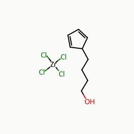 OCCCCC1C=CC=C1.[Cl][Zr]([Cl])([Cl])[Cl]